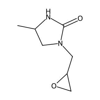 CC1CN(CC2CO2)C(=O)N1